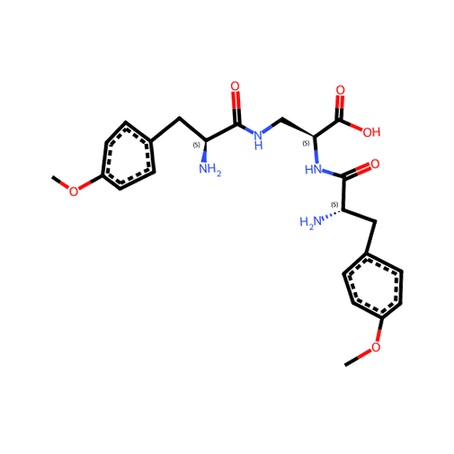 COc1ccc(C[C@H](N)C(=O)NC[C@H](NC(=O)[C@@H](N)Cc2ccc(OC)cc2)C(=O)O)cc1